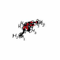 C=C(C)C(=O)OCCCCCCOc1ccc(Oc2cc(N[S+]([O-])c3ccc(C)cc3)c3c(c2N)C(=O)c2c(N)c(Oc4ccc(OCCCCCCOC(=O)C(=C)C)cc4)cc(NS(=O)(=O)c4ccc(C)cc4)c2C3=O)cc1